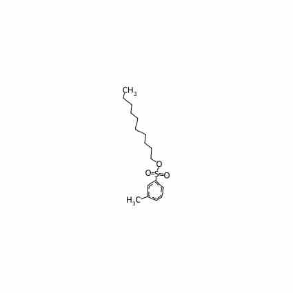 CCCCCCCCCCOS(=O)(=O)c1cccc(C)c1